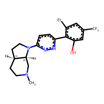 CCc1cc(C(F)(F)F)cc(O)c1-c1ccc(N2CC[C@@H]3CCN(C)C[C@@H]32)nn1